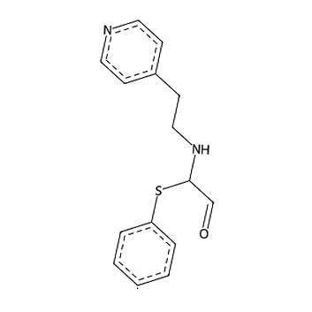 O=CC(NCCc1ccncc1)Sc1cc[c]cc1